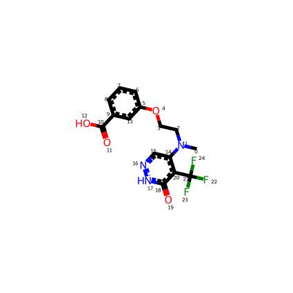 CN(CCOc1cccc(C(=O)O)c1)c1cn[nH]c(=O)c1C(F)(F)F